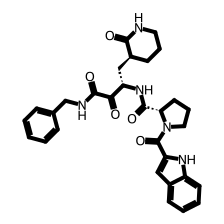 O=C(NCc1ccccc1)C(=O)[C@H](C[C@@H]1CCCNC1=O)NC(=O)[C@@H]1CCCN1C(=O)c1cc2ccccc2[nH]1